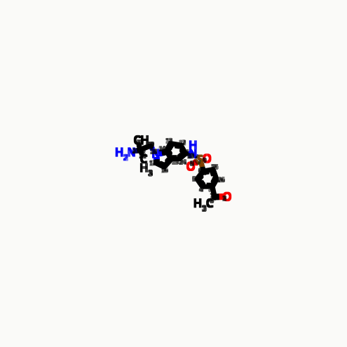 CC(=O)c1ccc(S(=O)(=O)Nc2ccc3c(ccn3CC(C)(C)N)c2)cc1